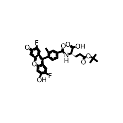 Cc1cc(C(=O)N[C@@H](CCC(=O)OC(C)(C)C)C(=O)O)ccc1-c1c2cc(F)c(=O)cc-2oc2cc(O)c(F)cc12